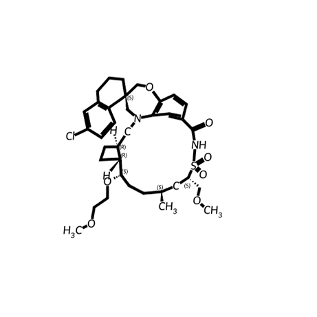 COCCO[C@H]1CC[C@H](C)C[C@@H](COC)S(=O)(=O)NC(=O)c2ccc3c(c2)N(C[C@@H]2CC[C@H]21)C[C@@]1(CCCc2cc(Cl)ccc21)CO3